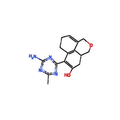 Cc1nc(N)nc(C2=C(O)CC3COCC4=CCCC2=C43)n1